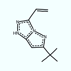 C=Cc1n[nH]c2cc(C(C)(C)C)nn12